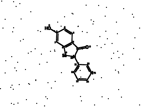 O=c1c2ccc(O)cc2[se]n1-c1cccnc1